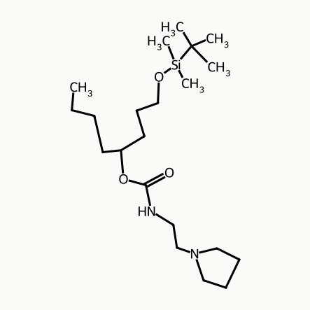 CCCCC(CCCO[Si](C)(C)C(C)(C)C)OC(=O)NCCN1CCCC1